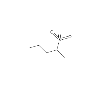 CCCC(C)[SH](=O)=O